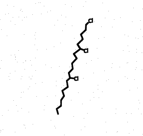 CCCCCCCCC(Cl)CCCCCC(Cl)CCCCCCl